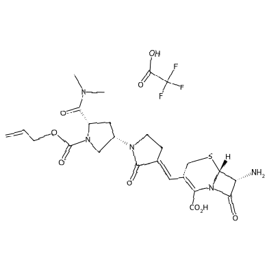 C=CCOC(=O)N1C[C@@H](N2CCC(=CC3=C(C(=O)O)N4C(=O)[C@@H](N)[C@H]4SC3)C2=O)C[C@H]1C(=O)N(C)C.O=C(O)C(F)(F)F